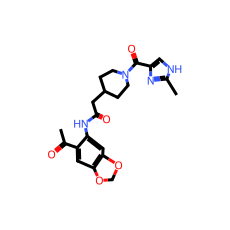 CC(=O)c1cc2c(cc1NC(=O)CC1CCN(C(=O)c3c[nH]c(C)n3)CC1)OCO2